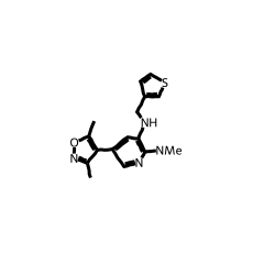 CNc1ncc(-c2c(C)noc2C)cc1NCc1ccsc1